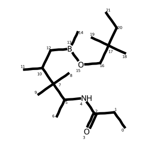 CCC(=O)NC(C)C(C)(C)C(C)CB(C)OCC(C)(C)CC